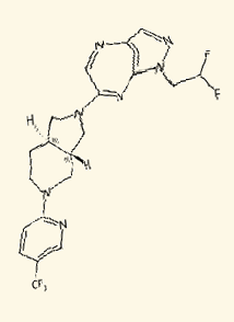 FC(F)Cn1ncc2ncc(N3C[C@@H]4CCN(c5ccc(C(F)(F)F)cn5)C[C@H]4C3)nc21